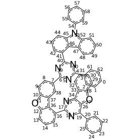 c1ccc(-c2nc(-c3ccc4oc5cccc(-c6nc(-c7ccccc7)c7oc8ccccc8c7n6)c5c4c3)nc(-c3cccc4c3c3ccccc3n4-c3ccccc3)n2)cc1